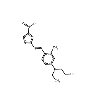 CCN(CCO)c1ccc(/N=N/c2ncc([N+](=O)[O-])s2)c(C)c1